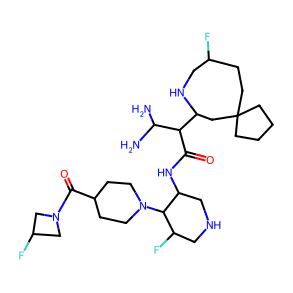 NC(N)C(C(=O)NC1CNCC(F)C1N1CCC(C(=O)N2CC(F)C2)CC1)C1CC2(CCCC2)CCC(F)CN1